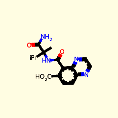 CC(C)C(C)(NC(=O)c1c(C(=O)O)ccc2nccnc12)C(N)=O